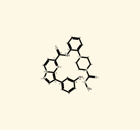 CC(C)(C)OC(=O)N1CCN(c2ccccc2NC(=O)c2ccn3ncc(-c4cccc(N)c4)c3n2)CC1